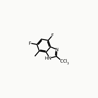 Cc1c(F)cc(F)c2nc(C(Cl)(Cl)Cl)[nH]c12